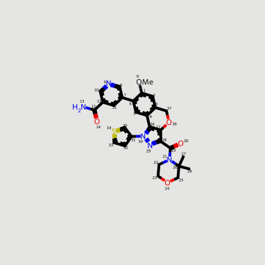 COc1cc2c(cc1-c1cncc(C(N)=O)c1)-c1c(c(C(=O)N3CCOCC3(C)C)nn1-c1ccsc1)OC2